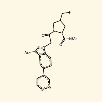 CNC(=O)[C@@H]1CC(CF)CN1C(=O)Cn1cc(C(C)=O)c2cc(-c3ccnnc3)ccc21